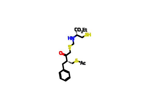 CCOC(=O)[C@H](CS)NCSCC(=O)[C@H](CSC(C)=O)Cc1ccccc1